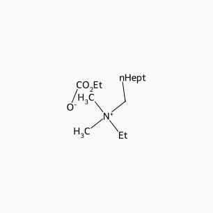 CCCCCCCC[N+](C)(C)CC.CCOC(=O)[O-]